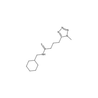 Cn1nnnc1CCCC(=S)NCC1CCCCC1